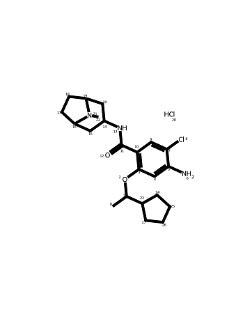 CC(Oc1cc(N)c(Cl)cc1C(=O)NC1CC2CCC(C1)N2C)C1CCCC1.Cl